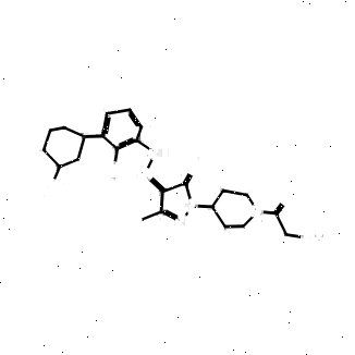 COCC(=O)N1CCC(N2N=C(C)C(=NNc3cccc(C4CCCC(C(=O)O)C4)c3O)C2=O)CC1